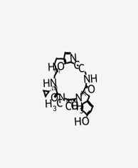 C[C@@H]1C(=O)N[C@H](Cc2ccc(O)cc2)C(=O)NCCCc2nccc3c2O[C@H](CC3)CN[C@@H](C2CC2)C(=O)N1C